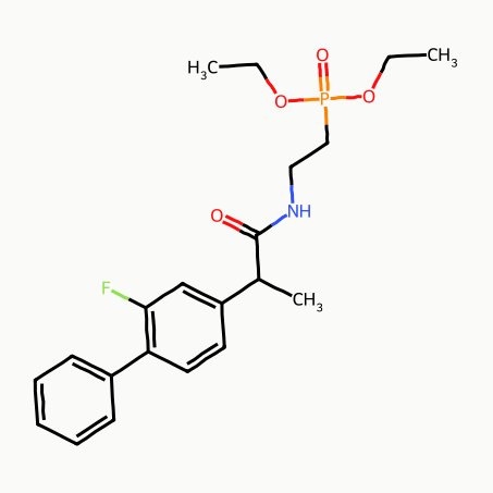 CCOP(=O)(CCNC(=O)C(C)c1ccc(-c2ccccc2)c(F)c1)OCC